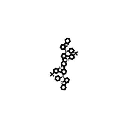 CC(C)(C)c1ccc2c(c1)c1c(N(c3ccccc3)c3cccc4c3oc3ccccc34)ccc3c4cc5c(cc4n2c31)c1ccc(N(c2ccccc2)c2cccc3c2oc2ccccc23)c2c3cc(C(C)(C)C)ccc3n5c12